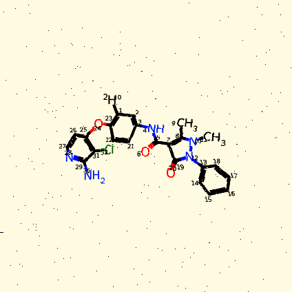 [2H]c1cc(NC(=O)c2c(C)n(C)n(-c3ccccc3)c2=O)ccc1Oc1ccnc(N)c1Cl